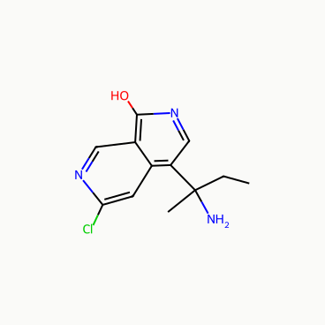 CCC(C)(N)c1cnc(O)c2cnc(Cl)cc12